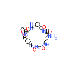 NC(=O)[C@@H]1CCCCNC(=O)/C=C/C(=O)N[C@H]2CC[C@H](CC2)C(=O)N[C@@H](Cc2ccco2)C(=O)NCc2ccccc2CC(=O)N1